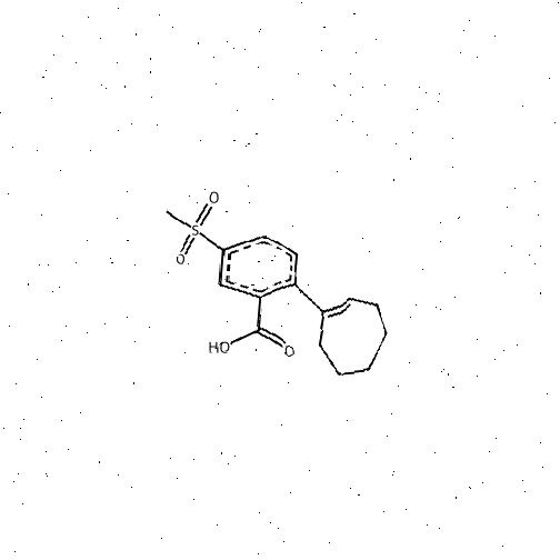 CS(=O)(=O)c1ccc(C2=CCCCCC2)c(C(=O)O)c1